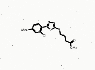 COC(=O)CCCSc1nnc(-c2ccc(OC)cc2Cl)o1